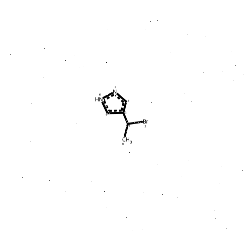 CC(Br)c1cn[nH]c1